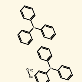 O=[CH][Ru].c1ccc(P(c2ccccc2)c2ccccc2)cc1.c1ccc(P(c2ccccc2)c2ccccc2)cc1